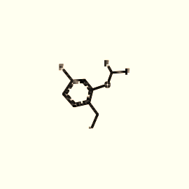 [CH2]Cc1ccc(F)cc1OC(F)F